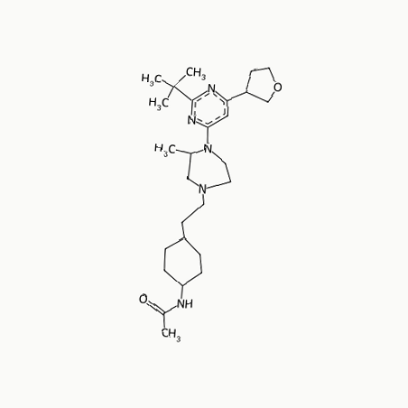 CC(=O)NC1CCC(CCN2CCN(c3cc(C4CCOC4)nc(C(C)(C)C)n3)C(C)C2)CC1